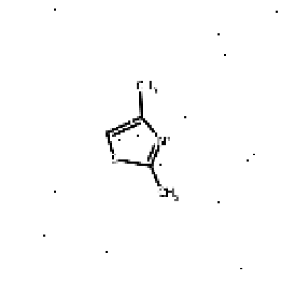 CC1=[C]SC(C)=[N+]1